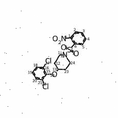 O=[N+]([O-])c1ccccc1S(=O)(=O)N1CCC(Oc2c(Cl)cccc2Cl)CC1